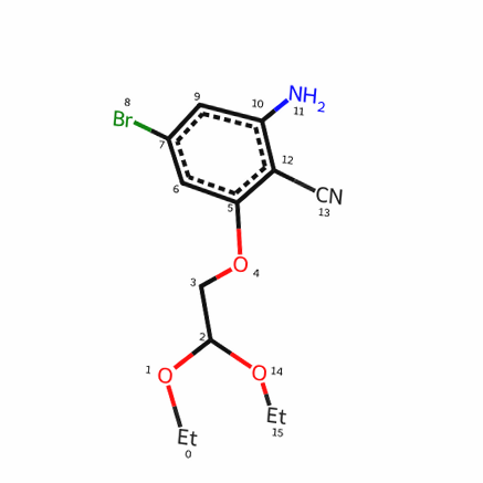 CCOC(COc1cc(Br)cc(N)c1C#N)OCC